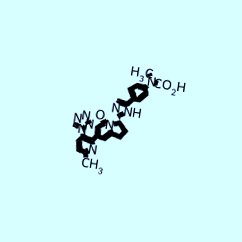 Cc1ccc(-n2cnnn2)c(-c2cc3n(c(=O)c2)[C@H](c2ncc(-c4ccc(N(C)C(=O)O)cc4)[nH]2)CC3)n1